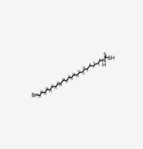 S=C(S)NCCCCCCCCCCCCCCCCCCCCCCCCBr